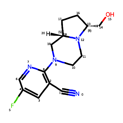 N#Cc1cc(F)cnc1N1CCN2[C@@H](CO)CC[C@H]2C1